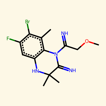 COCC(=N)N1C(=N)C(C)(C)Nc2cc(F)c(Br)c(C)c21